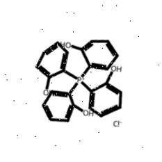 Oc1ccccc1[P+](c1ccccc1O)(c1ccccc1O)c1ccccc1O.[Cl-]